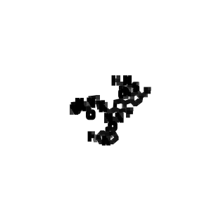 Nc1nc2c(-c3c(Cl)cc4c(N5CC6(CCN6C(=O)n6cncn6)C5)nc(OC[C@@]56CCCN5C[C@H](F)C6)nc4c3F)ccc(F)c2s1